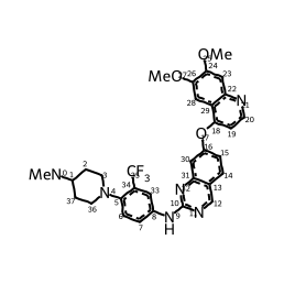 CNC1CCN(c2ccc(Nc3ncc4ccc(Oc5ccnc6cc(OC)c(OC)cc56)cc4n3)cc2C(F)(F)F)CC1